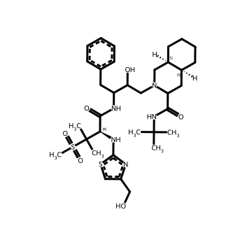 CC(C)(C)NC(=O)C1C[C@@H]2CCCC[C@@H]2CN1CC(O)C(Cc1ccccc1)NC(=O)[C@@H](Nc1nc(CO)cs1)C(C)(C)S(C)(=O)=O